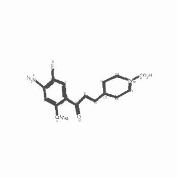 COc1cc(N)c(F)cc1C(=O)CCC1CCN(C(=O)O)CC1